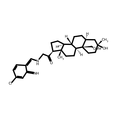 COC[C@]12CC[C@@](C)(O)C[C@@H]1CC[C@H]1[C@@H]3CC[C@H](C(=O)CN/C=C4/C=CC(Cl)=CC4=N)[C@@]3(C)CC[C@@H]12